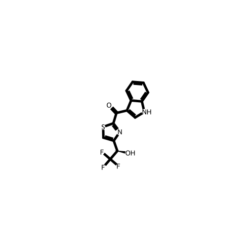 O=C(c1nc([C@@H](O)C(F)(F)F)cs1)c1c[nH]c2ccccc12